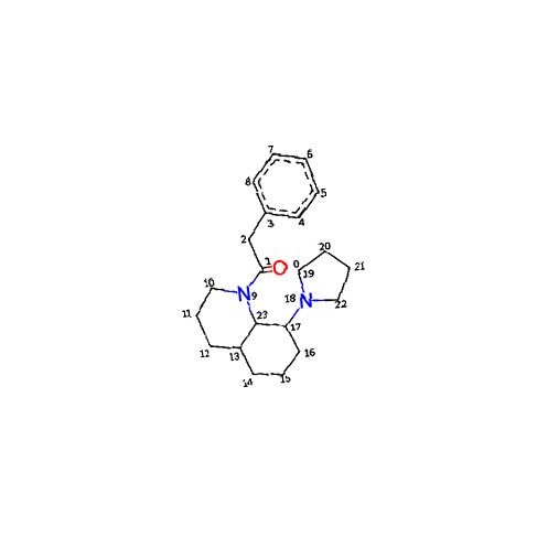 O=C(Cc1ccccc1)N1CCCC2CCCC(N3CCCC3)C21